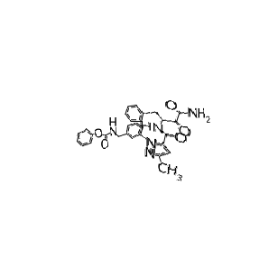 Cc1cc(C(=O)N[C@@H](Cc2ccccc2)C(=O)C(N)=O)n(-c2cccc(CNC(=O)Oc3ccccc3)c2)n1